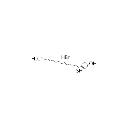 Br.CCCCCCCCCCCCCCC(S)c1ccc(O)cc1